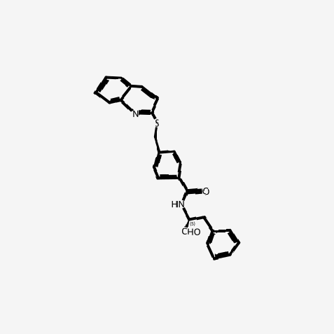 O=C[C@H](Cc1ccccc1)NC(=O)c1ccc(CSc2ccc3ccccc3n2)cc1